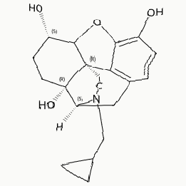 Oc1ccc2c3c1OC1[C@@H](O)CC[C@]4(O)[C@H](C2)N(CC2CC2)CC[C@@]314